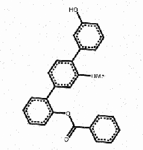 COc1cc(-c2cc[c]cc2OC(=O)c2ccccc2)ccc1-c1cccc(O)c1